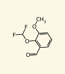 COc1cccc(C=O)c1OC(F)F